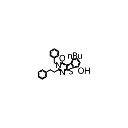 CCCCc1ccc(O)c2sc3nc(CCc4ccccc4)n(Cc4ccccc4)c(=O)c3c12